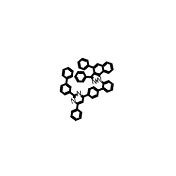 c1ccc(-c2cccc(-c3nc(-c4ccccc4)cc(-c4ccc(-c5ccccc5-n5nc(-c6ccccc6)c6c(-c7ccccc7)cc7ccccc7c65)cc4)n3)c2)cc1